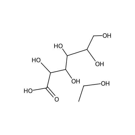 CCO.O=C(O)C(O)C(O)C(O)C(O)CO